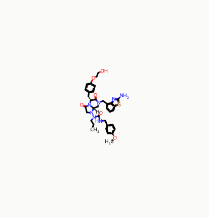 CCCN(C(=O)NCc1ccc(OC)cc1)N1CC(=O)N2[C@@H](Cc3ccc(OCCO)cc3)C(=O)N(Cc3cccc4sc(N)nc34)C[C@@H]21